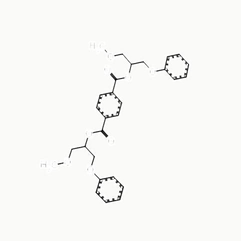 COCC(COc1ccccc1)OC(=O)c1ccc(C(=O)OC(COC)COc2ccccc2)cc1